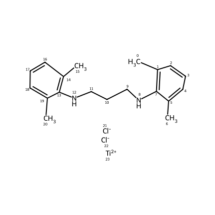 Cc1cccc(C)c1NCCCNc1c(C)cccc1C.[Cl-].[Cl-].[Ti+2]